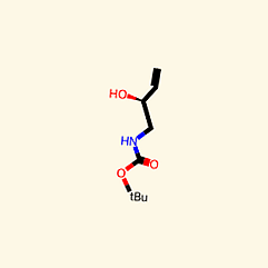 C=C[C@H](O)CNC(=O)OC(C)(C)C